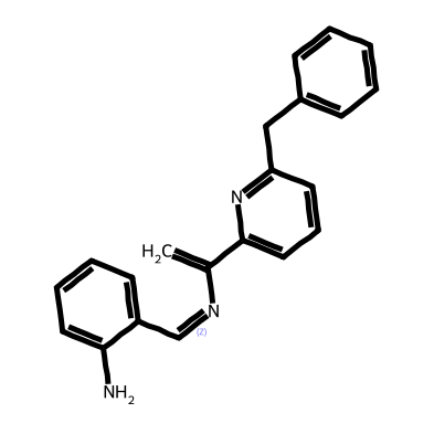 C=C(/N=C\c1ccccc1N)c1cccc(Cc2ccccc2)n1